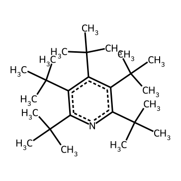 CC(C)(C)c1nc(C(C)(C)C)c(C(C)(C)C)c(C(C)(C)C)c1C(C)(C)C